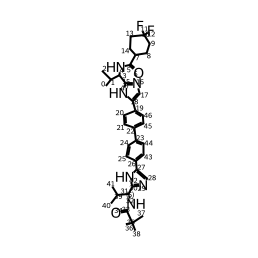 CC(C)C(NC(=O)C1CCC(F)(F)CC1)c1ncc(-c2ccc(-c3ccc(-c4cnc([C@@H](NC(=O)C(C)(C)C)C(C)C)[nH]4)cc3)cc2)[nH]1